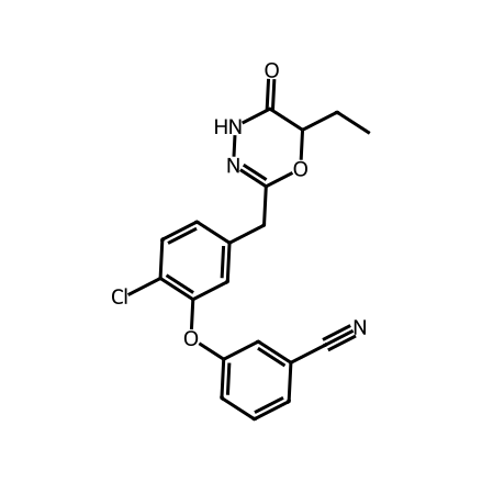 CCC1OC(Cc2ccc(Cl)c(Oc3cccc(C#N)c3)c2)=NNC1=O